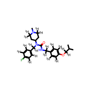 [2H]c1c([2H])c(C([2H])([2H])N(C(=O)NC([2H])([2H])c2c([2H])c([2H])c(OC([2H])([2H])C(C)C)c([2H])c2[2H])C2CC([2H])([2H])N(C)C([2H])([2H])C2)c([2H])c([2H])c1F